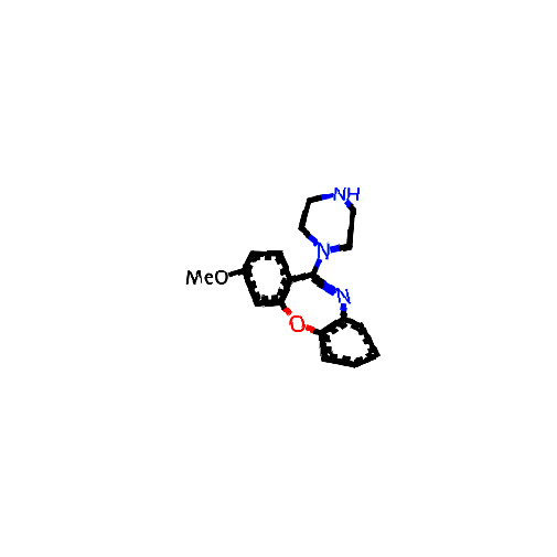 COc1ccc2c(c1)Oc1ccccc1N=C2N1CCNCC1